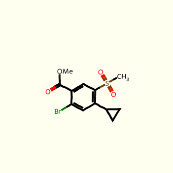 COC(=O)c1cc(S(C)(=O)=O)c(C2CC2)cc1Br